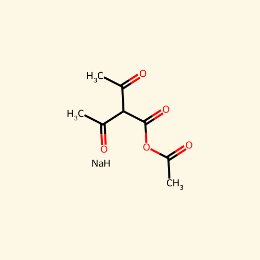 CC(=O)OC(=O)C(C(C)=O)C(C)=O.[NaH]